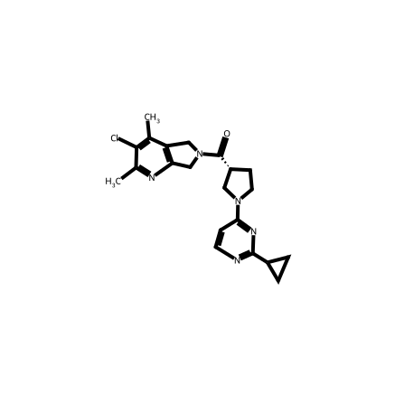 Cc1nc2c(c(C)c1Cl)CN(C(=O)[C@@H]1CCN(c3ccnc(C4CC4)n3)C1)C2